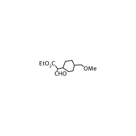 CCOC(=O)C(C=O)C1CCC(COC)CC1